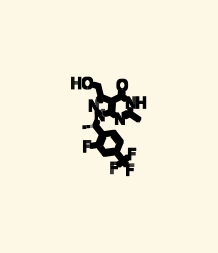 Cc1nc2c(c(CO)nn2[C@@H](C)c2ccc(C(F)(F)F)cc2F)c(=O)[nH]1